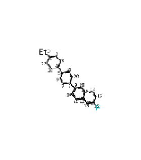 CCC1CCC(c2ccc(-c3ccc4cc(F)ccc4c3)cc2)CC1